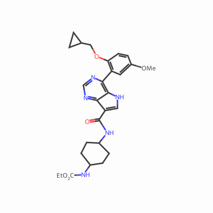 CCOC(=O)NC1CCC(NC(=O)c2c[nH]c3c(-c4cc(OC)ccc4OCC4CC4)ncnc23)CC1